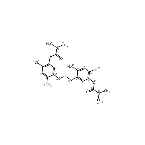 Cc1cc(Cl)c(OC(=O)N(C)C)cc1SSSc1cc(OC(=O)N(C)C)c(Cl)cc1C